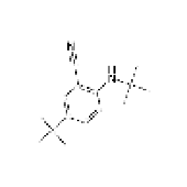 CC(C)(C)Nc1ccc(C(C)(C)C)cc1C#N